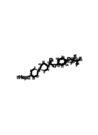 CCCCCCC[C@H]1CC[C@H]([C@H]2CC[C@H](C(=O)Oc3ccc(OC(F)(F)C(F)F)cc3)CC2)CC1